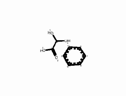 O=C(O)C(O)O.c1ccccc1